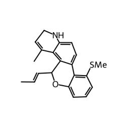 CC=CC1Oc2cccc(SC)c2-c2ccc3c(c21)C(C)=CCN3